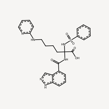 O=C(NC(CCCCNc1ccccn1)(NS(=O)(=O)c1ccccc1)C(=O)O)c1cccc2[nH]ncc12